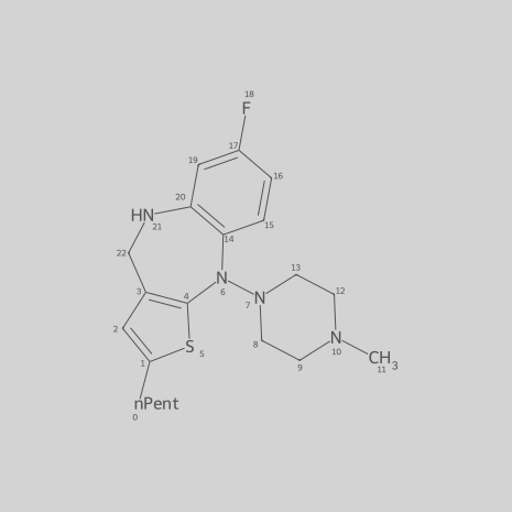 CCCCCc1cc2c(s1)N(N1CCN(C)CC1)c1ccc(F)cc1NC2